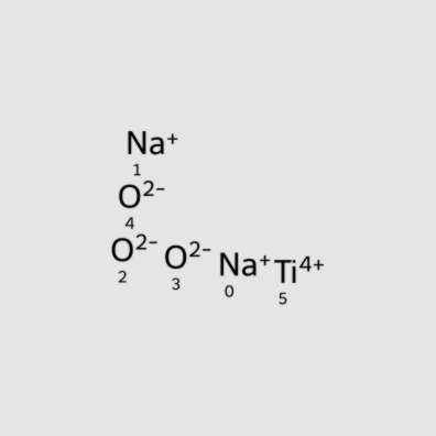 [Na+].[Na+].[O-2].[O-2].[O-2].[Ti+4]